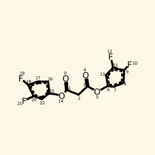 O=C(CC(=O)Oc1ccc(F)c(F)c1)Oc1ccc(F)c(F)c1